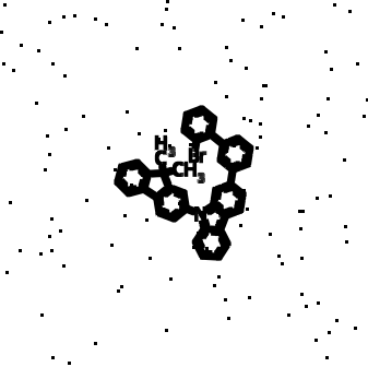 CC1(C)c2ccccc2-c2ccc(-n3c4ccccc4c4ccc(-c5cccc(-c6ccccc6Br)c5)cc43)cc21